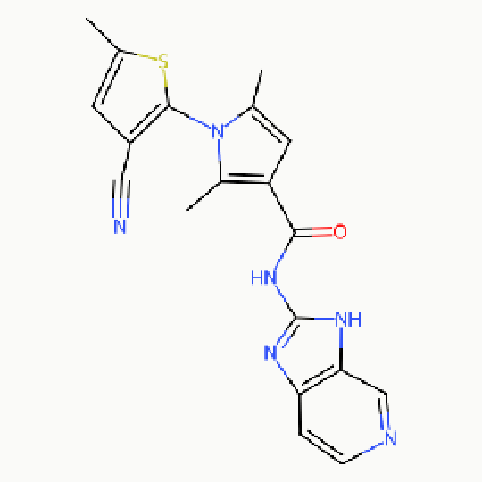 Cc1cc(C#N)c(-n2c(C)cc(C(=O)Nc3nc4ccncc4[nH]3)c2C)s1